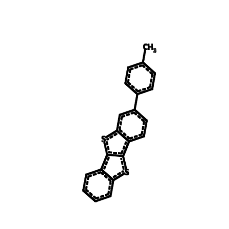 Cc1ccc(-c2ccc3c(c2)sc2c4ccccc4sc32)cc1